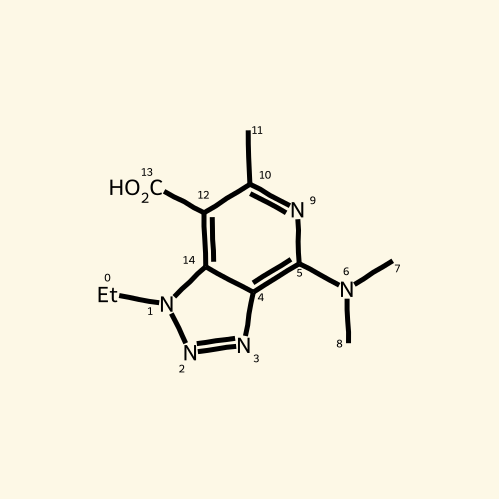 CCn1nnc2c(N(C)C)nc(C)c(C(=O)O)c21